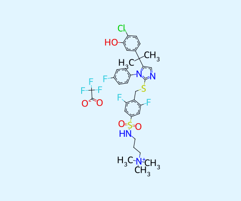 CC(C)(c1ccc(Cl)c(O)c1)c1cnc(SCc2c(F)cc(S(=O)(=O)NCCC[N+](C)(C)C)cc2F)n1-c1ccc(F)cc1.O=C([O-])C(F)(F)F